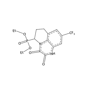 CCOP(=O)(OCC)C1CCc2cc(C(F)(F)F)cc3[nH]c(=O)c(=O)n1c23